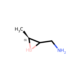 C[C@@H]1BC1CN